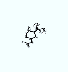 CC(C)CC1CCNC(C(=O)O)C1